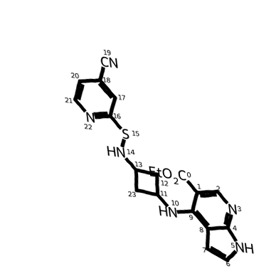 CCOC(=O)c1cnc2[nH]ccc2c1NC1CC(NSc2cc(C#N)ccn2)C1